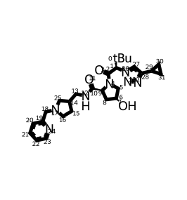 CC(C)(C)[C@H](C(=O)N1C[C@H](O)C[C@H]1C(=O)NCC1CCN(Cc2ccccn2)C1)n1cc(C2CC2)nn1